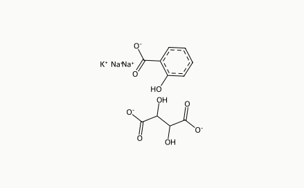 O=C([O-])C(O)C(O)C(=O)[O-].O=C([O-])c1ccccc1O.[K+].[Na+].[Na+]